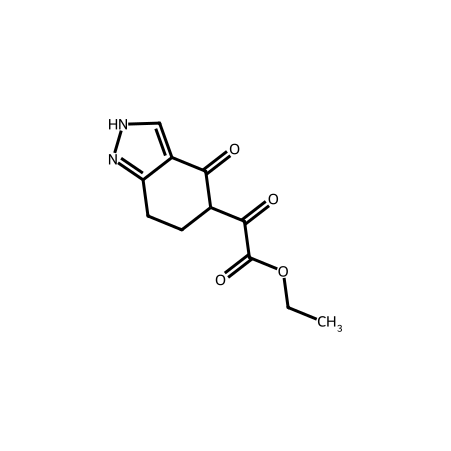 CCOC(=O)C(=O)C1CCc2n[nH]cc2C1=O